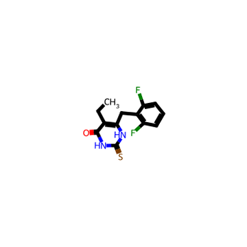 CCc1c(Cc2c(F)cccc2F)[nH]c(=S)[nH]c1=O